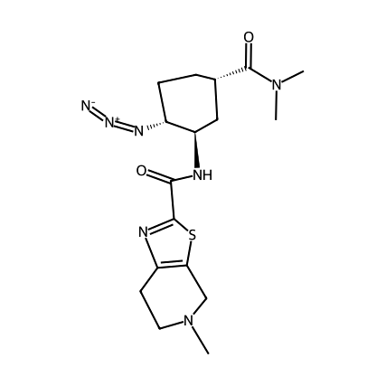 CN1CCc2nc(C(=O)N[C@@H]3C[C@@H](C(=O)N(C)C)CC[C@H]3N=[N+]=[N-])sc2C1